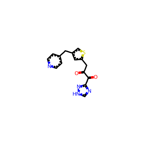 O=C(Cc1cc(Cc2ccncc2)cs1)C(=O)c1nc[nH]n1